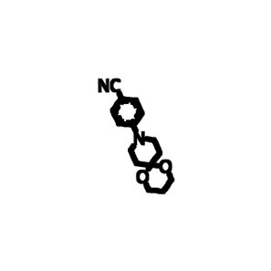 N#Cc1ccc(N2CCC3(CC2)OCCCO3)cc1